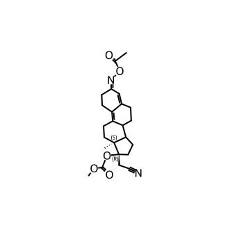 COC(=O)O[C@@]1(CC#N)CCC2C3CCC4=CC(=NOC(C)=O)CCC4=C3CC[C@@]21C